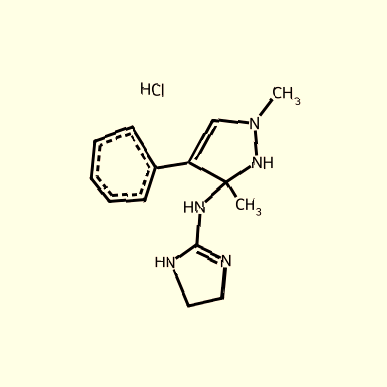 CN1C=C(c2ccccc2)C(C)(NC2=NCCN2)N1.Cl